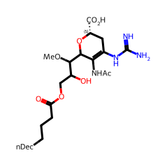 CCCCCCCCCCCCCC(=O)OCC(O)C(OC)C1O[C@H](C(=O)O)CC(NC(=N)N)=C1NC(C)=O